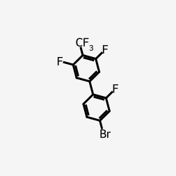 Fc1cc(Br)ccc1-c1cc(F)c(C(F)(F)F)c(F)c1